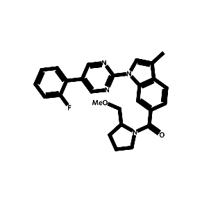 COCC1CCCN1C(=O)c1ccc2c(C)cn(-c3ncc(-c4ccccc4F)cn3)c2c1